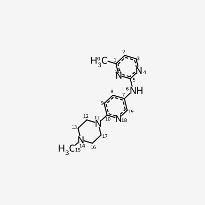 Cc1ccnc(Nc2ccc(N3CCN(C)CC3)nc2)n1